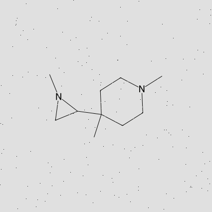 CN1CCC(C)(C2CN2C)CC1